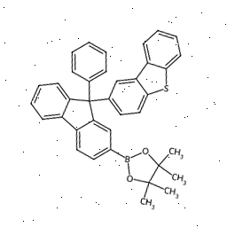 CC1(C)OB(c2ccc3c(c2)C(c2ccccc2)(c2ccc4sc5ccccc5c4c2)c2ccccc2-3)OC1(C)C